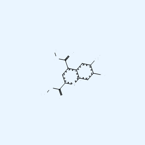 COC(=O)c1cc(C(=O)OC)c2cc(Cl)c(F)cc2n1